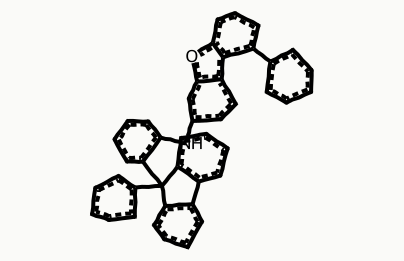 c1ccc(-c2cccc3oc4cc(Nc5ccccc5C5(c6ccccc6)c6ccccc6-c6ccccc65)ccc4c23)cc1